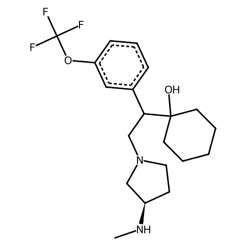 CN[C@@H]1CCN(CC(c2cccc(OC(F)(F)F)c2)C2(O)CCCCC2)C1